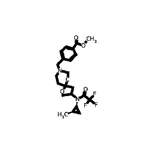 COC(=O)c1ccc(CN2CCC3(CC2)CC(N(C(=O)C(F)(F)F)[C@@H]2C[C@H]2C)CO3)cc1